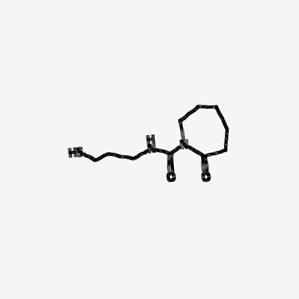 O=C1CCCCCN1C(=O)NCCCS